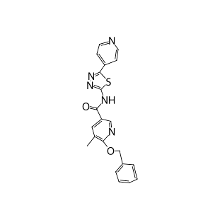 Cc1cc(C(=O)Nc2nnc(-c3ccncc3)s2)cnc1OCc1ccccc1